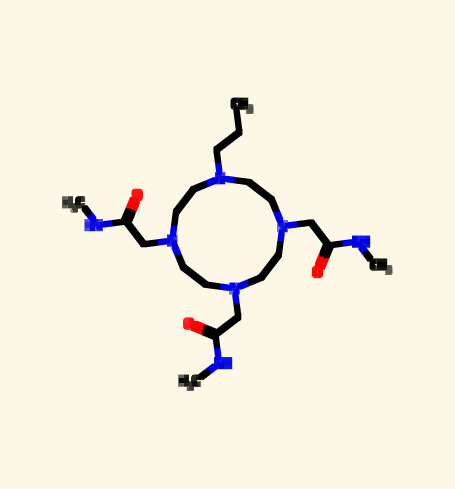 CCCN1CCN(CC(=O)NC)CCN(CC(=O)NC)CCN(CC(=O)NC)CC1